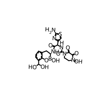 Nc1nc(C(NC(=O)N2CCN(O)C(=O)C2=O)C(=O)N[C@H]2Cc3cccc(C(O)O)c3OB2O)cs1